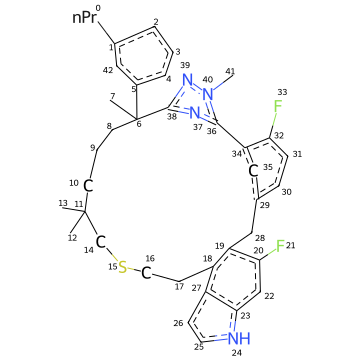 CCCc1cccc(C2(C)CCCC(C)(C)CSCCc3c(c(F)cc4[nH]ccc34)Cc3ccc(F)c(c3)-c3nc2nn3C)c1